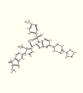 Cc1ccc(S(=O)(=O)n2c(C(=O)c3cnn(-c4ccc5[nH]c(C)nc5c4)c3N)cc3cc(C4CCN(C5CCCC5)CC4)ccc32)cc1